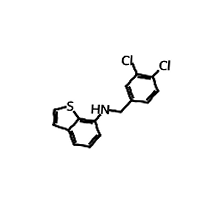 Clc1ccc(CNc2cccc3ccsc23)cc1Cl